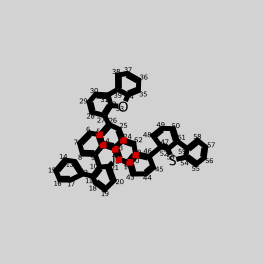 c1ccc(-c2ccccc2-c2c(-c3ccccc3)cccc2N(c2ccc(-c3cccc4c3oc3ccccc34)cc2)c2cccc(-c3cccc4c3sc3ccccc34)c2)cc1